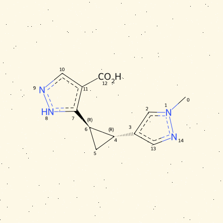 Cn1cc([C@@H]2C[C@H]2c2[nH]ncc2C(=O)O)cn1